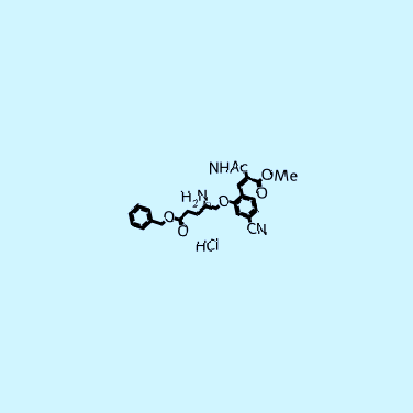 COC(=O)C(=Cc1ccc(C#N)cc1OC[C@@H](N)CCC(=O)OCc1ccccc1)NC(C)=O.Cl